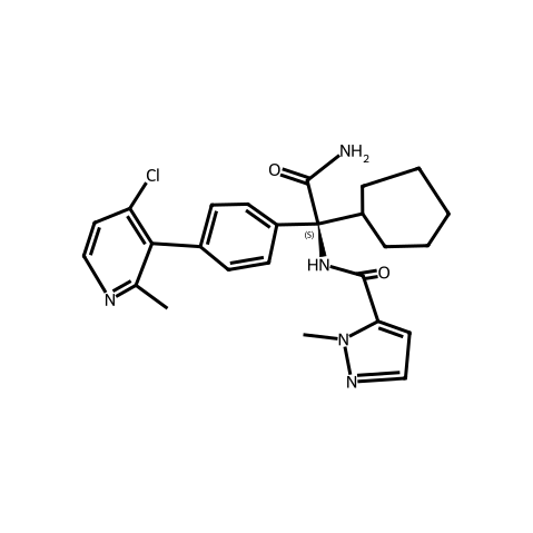 Cc1nccc(Cl)c1-c1ccc([C@](NC(=O)c2ccnn2C)(C(N)=O)C2CCCCC2)cc1